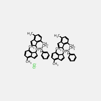 Cc1ccc(C)c2c1C=C[CH]2[Hf+]([CH]1C=Cc2c(C)ccc(C)c21)[SiH](C)c1ccccc1.Cc1ccc(C)c2c1C=C[CH]2[Hf+]([CH]1C=Cc2c(C)ccc(C)c21)[SiH](C)c1ccccc1.[Cl-].[Cl-]